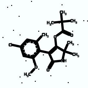 COc1cc(Cl)cc(C)c1C1=C(OC(=O)C(C)(C)C)C(C)(C)NC1=O